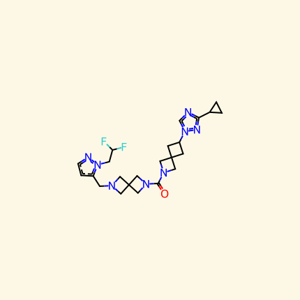 O=C(N1CC2(CC(n3cnc(C4CC4)n3)C2)C1)N1CC2(CN(Cc3ccnn3CC(F)F)C2)C1